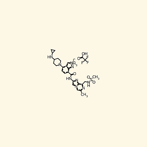 Cc1cn2cc(NC(=O)c3ccc(N4CCC(NC5CC5)CC4)c4cn(C)nc34)nc2c(CNS(C)(=O)=O)n1.O=C(O)C(F)(F)F